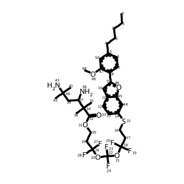 CCCCCc1ccc(-c2cc3ccc(SCCC(F)(F)OC(F)(F)OC(F)(F)CCOC(=O)C(C)(C)C(N)CC(C)(C)N)cc3o2)c(OC)c1